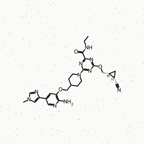 CCNC(=O)c1nc(OC[C@@H]2C[C@@H]2C#N)nc(N2CCC(COc3cc(-c4cn(C)cn4)cnc3N)CC2)n1